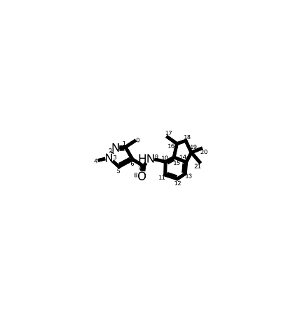 Cc1nn(C)cc1C(=O)Nc1cccc2c1C(C)CC2(C)C